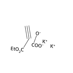 C#CC(=O)OCC.O=C([O-])[O-].[K+].[K+]